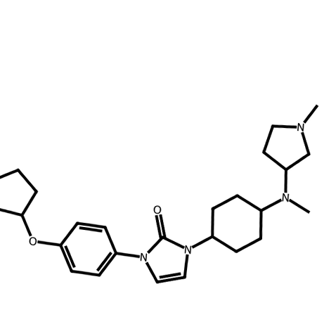 CN1CCC(N(C)C2CCC(n3ccn(-c4ccc(OC5CCCC5)cc4)c3=O)CC2)C1